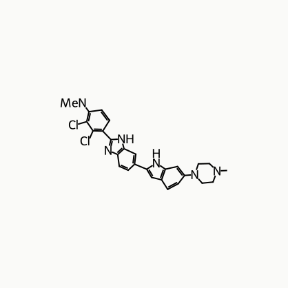 CNc1ccc(-c2nc3ccc(-c4cc5ccc(N6CCN(C)CC6)cc5[nH]4)cc3[nH]2)c(Cl)c1Cl